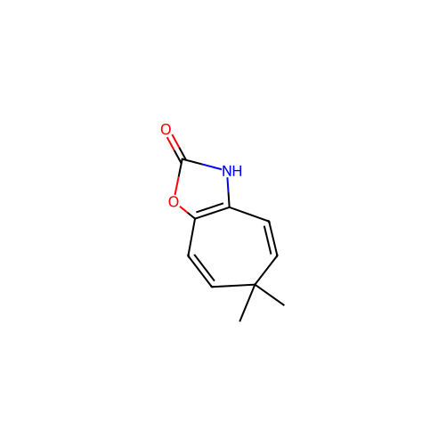 CC1(C)C=Cc2[nH]c(=O)oc2C=C1